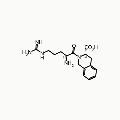 N=C(N)NCCC[C@H](N)C(=O)N1Cc2ccccc2C[C@H]1C(=O)O